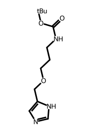 CC(C)(C)OC(=O)NCCCOCc1cnc[nH]1